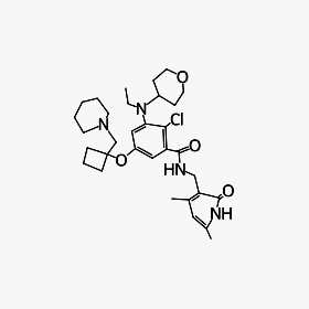 CCN(c1cc(OC2(CN3CCCCC3)CCC2)cc(C(=O)NCc2c(C)cc(C)[nH]c2=O)c1Cl)C1CCOCC1